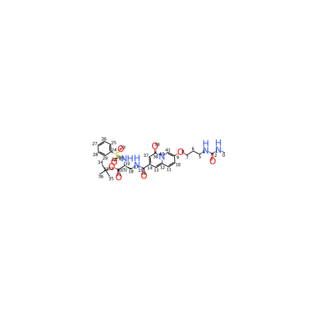 CNC(=O)NCCCOc1ccc2cc(C(=O)NC[C@H](NS(=O)(=O)c3ccccc3)C(=O)OC(C)(C)C)cc(=O)n2c1